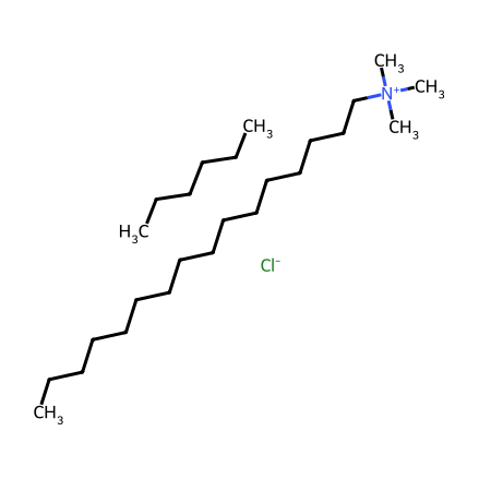 CCCCCC.CCCCCCCCCCCCCCCC[N+](C)(C)C.[Cl-]